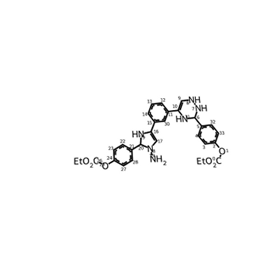 CCOC(=O)Oc1ccc(C2NNC=C(c3cccc(C4=CN(N)C(c5ccc(OC(=O)OCC)cc5)N4)c3)N2)cc1